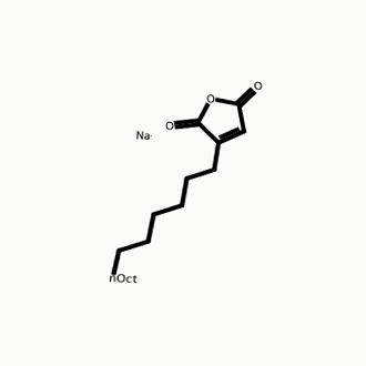 CCCCCCCCCCCCCCC1=CC(=O)OC1=O.[Na]